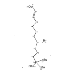 CCCCCCCC/C=C/CCCCCCCC[P+](CCCC)(CCCC)CCCC.[Br-]